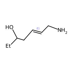 CCC(O)C/C=C/CN